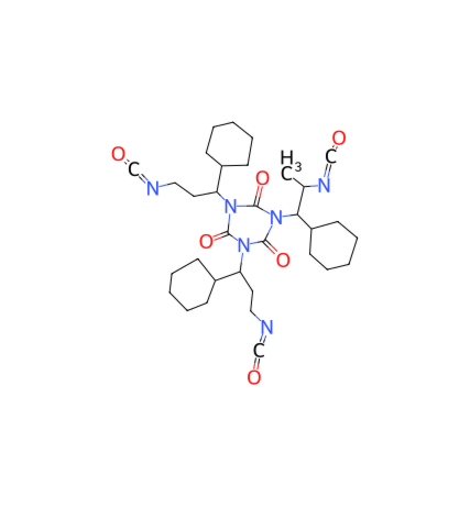 CC(N=C=O)C(C1CCCCC1)n1c(=O)n(C(CCN=C=O)C2CCCCC2)c(=O)n(C(CCN=C=O)C2CCCCC2)c1=O